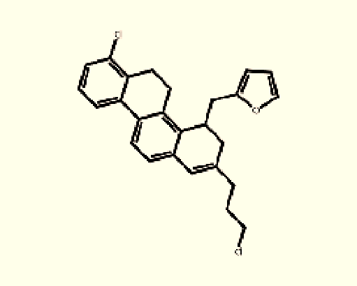 ClCCCC1=Cc2ccc3c(c2C(Cc2ccco2)C1)CCc1c(Cl)cccc1-3